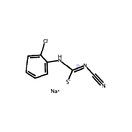 N#C/N=C(\[S-])Nc1ccccc1Cl.[Na+]